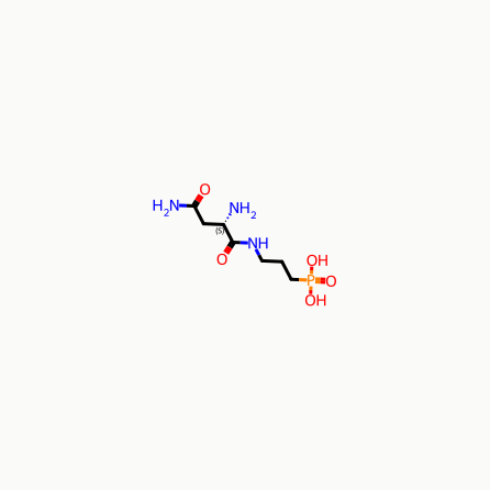 NC(=O)C[C@H](N)C(=O)NCCCP(=O)(O)O